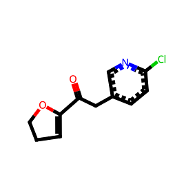 O=C(Cc1ccc(Cl)nc1)C1=CCCO1